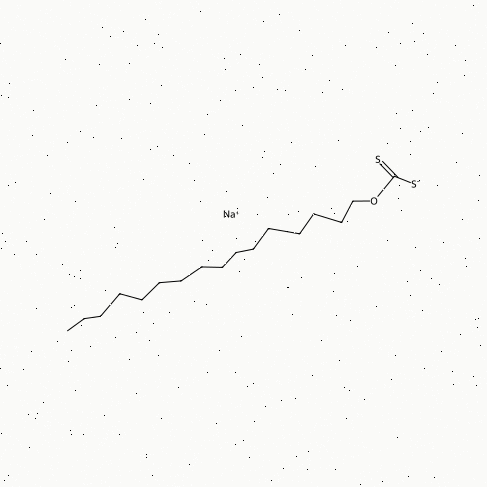 CCCCCCCCCCCCCCCCOC(=S)[S-].[Na+]